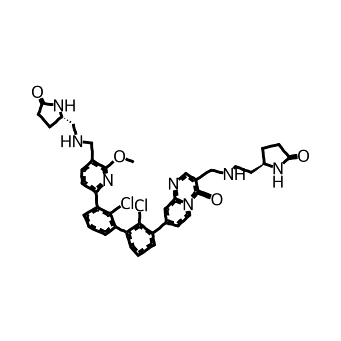 COc1nc(-c2cccc(-c3cccc(-c4ccn5c(=O)c(CNCC[C@H]6CCC(=O)N6)cnc5c4)c3Cl)c2Cl)ccc1CNC[C@@H]1CCC(=O)N1